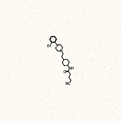 CCc1ccccc1N1CCN(CCC2CCC(NC(=O)CCCC#N)CC2)CC1